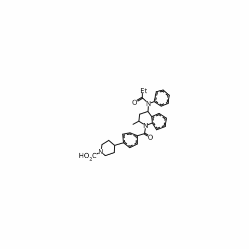 CCC(=O)N(c1ccccc1)C1CC(C)N(C(=O)c2ccc(C3CCN(C(=O)O)CC3)cc2)c2ccccc21